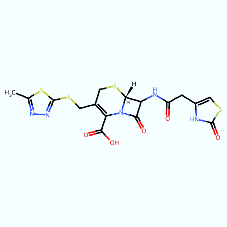 Cc1nnc(SCC2=C(C(=O)O)N3C(=O)C(NC(=O)Cc4csc(=O)[nH]4)[C@H]3SC2)s1